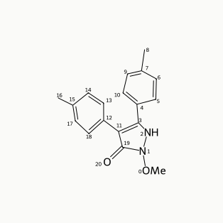 COn1[nH]c(-c2ccc(C)cc2)c(-c2ccc(C)cc2)c1=O